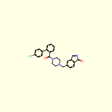 O=C1N=Cc2cc(CN3CCN(C(=O)c4ccccc4-c4ccc(Cl)cc4)CC3)ccc21